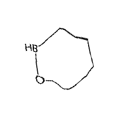 B1CCCCO1